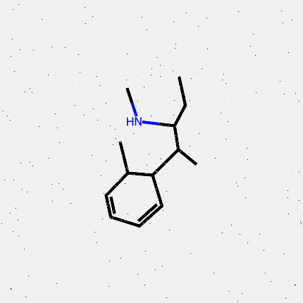 CCC(NC)C(C)C1C=CC=CC1C